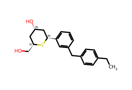 CCc1ccc(Cc2cccc([C@H]3C[C@@H](O)C[C@@H](CO)S3)c2)cc1